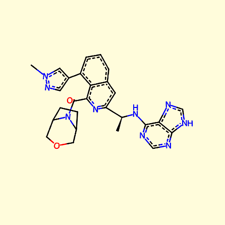 C[C@H](Nc1ncnc2[nH]cnc12)c1cc2cccc(-c3cnn(C)c3)c2c(C(=O)N2C3CCC2COC3)n1